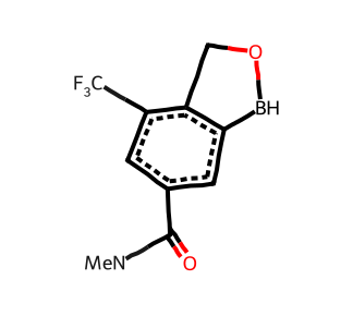 CNC(=O)c1cc2c(c(C(F)(F)F)c1)COB2